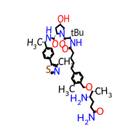 Cc1cc(CCCCC(=O)N[C@H](C(=O)N2C[C@H](O)C[C@H]2C(=O)N[C@@H](C)c2ccc(-c3scnc3C)cc2)C(C)(C)C)ccc1CO[C@H](C)[C@@H](N)CCC(N)=O